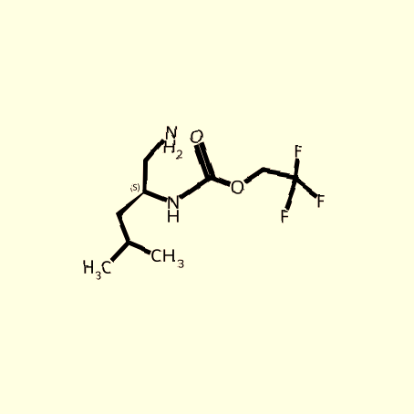 CC(C)C[C@@H](CN)NC(=O)OCC(F)(F)F